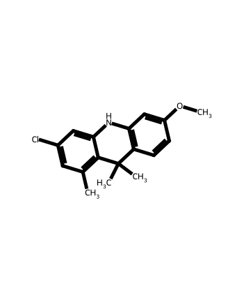 COc1ccc2c(c1)Nc1cc(Cl)cc(C)c1C2(C)C